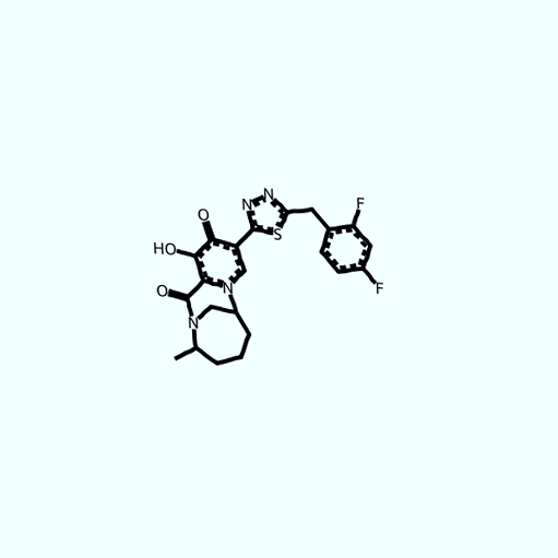 CC1CCCC2CN1C(=O)c1c(O)c(=O)c(-c3nnc(Cc4ccc(F)cc4F)s3)cn12